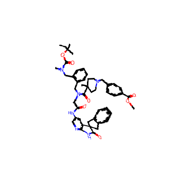 COC(=O)c1ccc(CN2CCC(C)(C(=O)N(CC(=O)Nc3cnc4c(c3)C3(Cc5ccccc5C3)C(=O)N4)Cc3ccccc3CN(C)C(=O)OC(C)(C)C)CC2)cc1